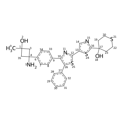 CC1(O)CC(N)(c2ccc(-c3nc(-c4cnc(C5(O)CCSCC5)s4)sc3-c3ccccc3)cc2)C1